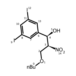 CCCCOC[C@@H]([C@H](O)c1cc(I)cc(I)c1)[N+](=O)[O-]